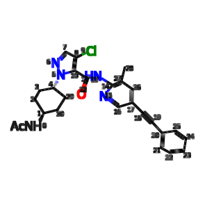 CC(=O)N[C@H]1CC[C@H](n2ncc(Cl)c2C(=O)Nc2ncc(C#Cc3ccccc3)cc2C)CC1